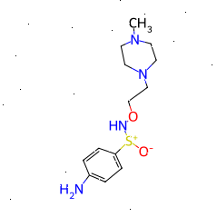 CN1CCN(CCON[S+]([O-])c2ccc(N)cc2)CC1